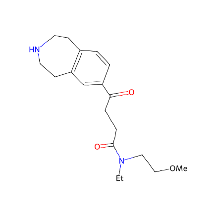 CCN(CCOC)C(=O)CCC(=O)c1ccc2c(c1)CCNCC2